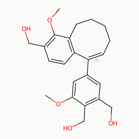 COc1cc(/C2=C/CCCCc3c2ccc(CO)c3OC)cc(CO)c1CO